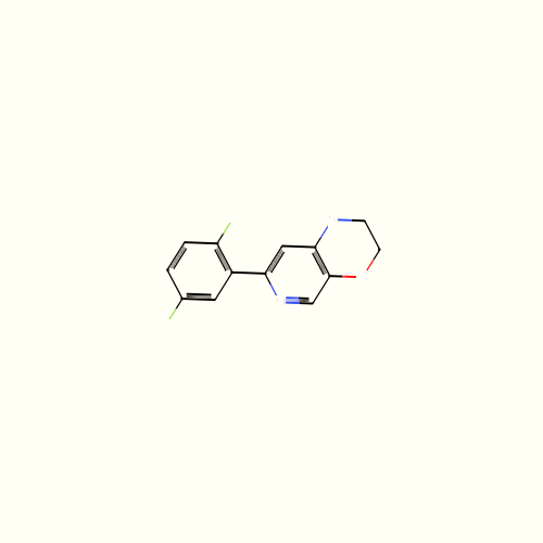 Fc1ccc(F)c(-c2cc3c(cn2)OCCN3)c1